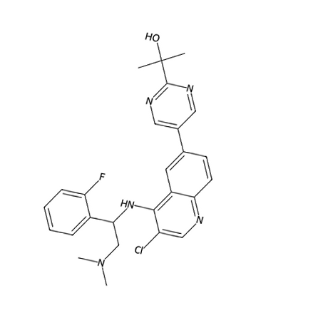 CN(C)CC(Nc1c(Cl)cnc2ccc(-c3cnc(C(C)(C)O)nc3)cc12)c1ccccc1F